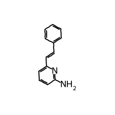 Nc1cccc(C=Cc2ccccc2)n1